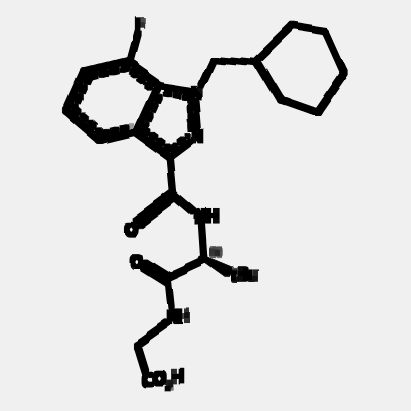 CC(C)(C)[C@H](NC(=O)c1nn(CC2CCCCC2)c2c(F)cccc12)C(=O)NCC(=O)O